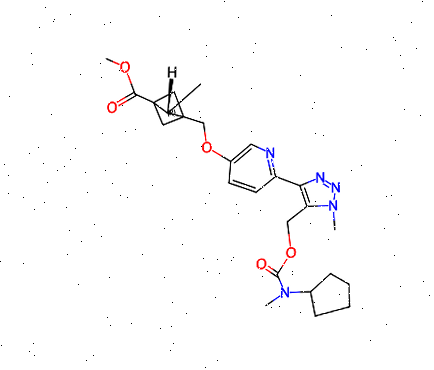 COC(=O)C12CC(COc3ccc(-c4nnn(C)c4COC(=O)N(C)C4CCCC4)nc3)(C1)[C@H]2C